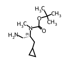 CN(C(=O)OC(C)(C)C)[C@@H](CN)CC1CC1